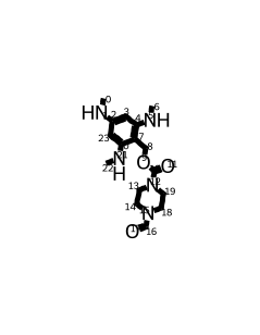 CNc1cc(NC)c(COC(=O)N2CCN(C=O)CC2)c(NC)c1